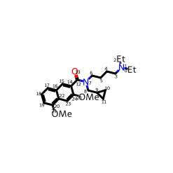 CCN(CC)CCCCN(CC1CC1)C(=O)c1cc2cccc(OC)c2cc1OC